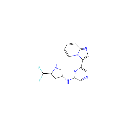 FC(F)[C@@H]1C[C@@H](Nc2cncc(-c3cnc4ccccn34)n2)CN1